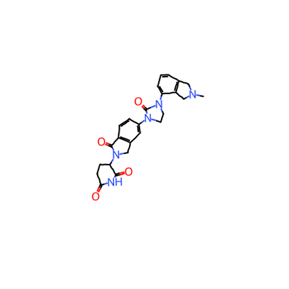 CN1Cc2cccc(N3CCN(c4ccc5c(c4)CN(C4CCC(=O)NC4=O)C5=O)C3=O)c2C1